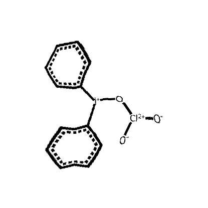 [O-][Cl+2]([O-])O[I+](c1ccccc1)c1ccccc1